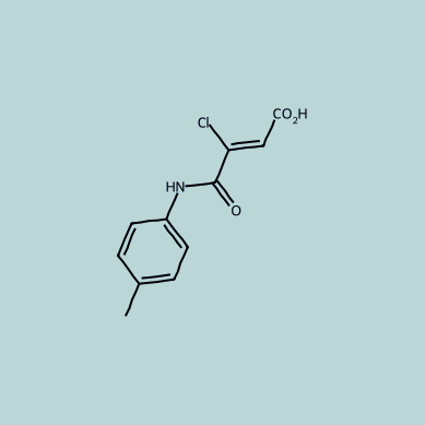 Cc1ccc(NC(=O)C(Cl)=CC(=O)O)cc1